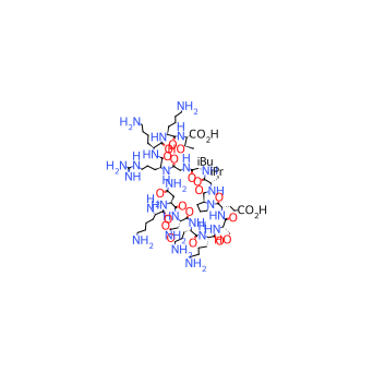 CC[C@H](C)[C@H](NC(=O)[C@H](CC(C)C)NC(=O)[C@@H]1CCCN1C(=O)[C@H](CCC(=O)O)NC(=O)[C@H](CO)NC(=O)[C@H](CCCCN)NC(=O)[C@H](CCC(N)=O)NC(=O)[C@H](CC(N)=O)NC(=O)[C@H](CC(N)=O)NC(=O)[C@@H](N)CCCCN)C(=O)NCC(=O)N[C@@H](CCCNC(=N)N)C(=O)N[C@@H](CCCCN)C(=O)N[C@@H](CCCCN)C(=O)N[C@H](C(=O)O)[C@@H](C)O